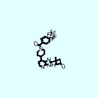 CC1(c2nc3c(C4CCN(C(=O)c5ccc(S(F)(F)(F)(F)F)cc5)CC4)ccnc3[nH]2)CC(=O)C1